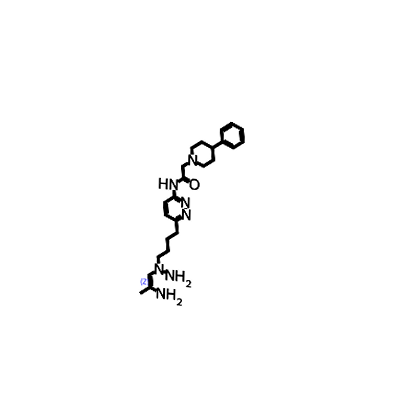 C/C(N)=C/N(N)CCCCc1ccc(NC(=O)CN2CCC(c3ccccc3)CC2)nn1